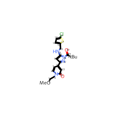 COCCn1ccc(-c2cc(NCc3ccc(Cl)s3)n(C(=O)C(C)(C)C)n2)cc1=O